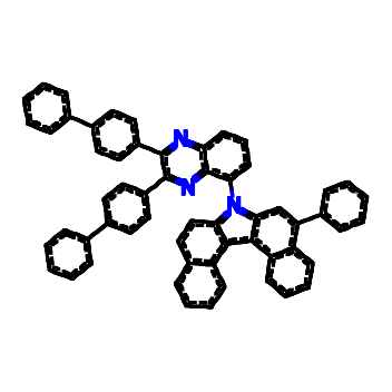 c1ccc(-c2ccc(-c3nc4cccc(-n5c6ccc7ccccc7c6c6c7ccccc7c(-c7ccccc7)cc65)c4nc3-c3ccc(-c4ccccc4)cc3)cc2)cc1